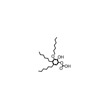 CCCCCCCOc1c(O)c(OC(=O)O)cc(CCCCCC)c1CCCCCC